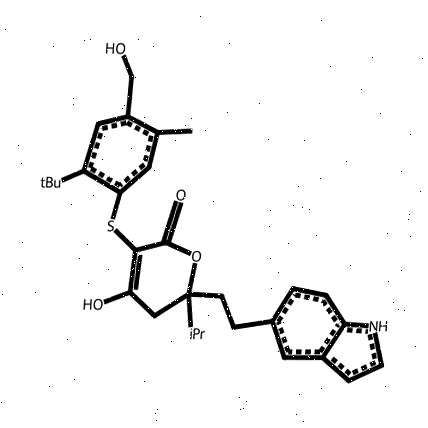 Cc1cc(SC2=C(O)CC(CCc3ccc4[nH]ccc4c3)(C(C)C)OC2=O)c(C(C)(C)C)cc1CO